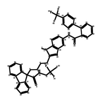 Cn1c(CCCCC2(C(=O)NCC(F)(F)F)c3ccccc3-c3ccccc32)nc2cc(NC(=O)c3ccccc3-c3ccc(C(F)(F)F)cc3)ccc21